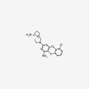 Nc1nc(N2CC[C@]3(CC[C@H]3N)C2)cnc1Sc1cccc(Cl)c1Cl